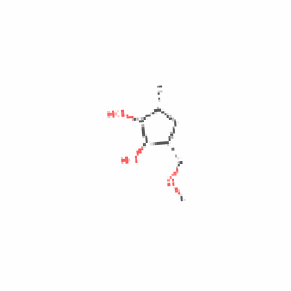 COC[C@H]1C[C@@H](C)[C@H](O)[C@@H]1O